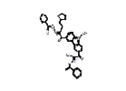 C=C(O/N=C(\CC)C(=O)c1ccc2c(c1)c1cc(C(=O)/C(CCC3CCCC3)=N/OC(=O)c3ccccc3)ccc1n2CCC)c1ccccc1